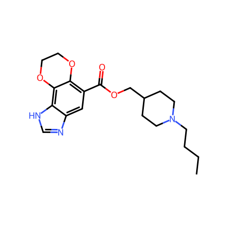 CCCCN1CCC(COC(=O)c2cc3nc[nH]c3c3c2OCCO3)CC1